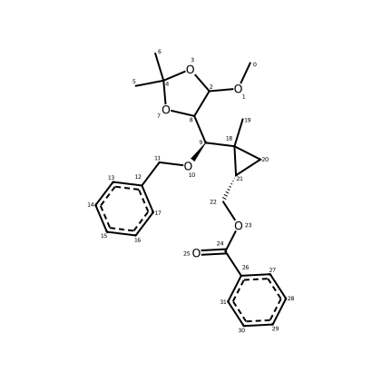 COC1OC(C)(C)OC1[C@H](OCc1ccccc1)C1(C)C[C@@H]1COC(=O)c1ccccc1